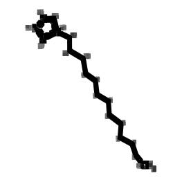 CCCCCCCCCCCCCn1cnnn1